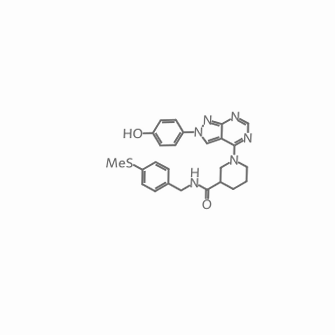 CSc1ccc(CNC(=O)C2CCCN(c3ncnc4nn(-c5ccc(O)cc5)cc34)C2)cc1